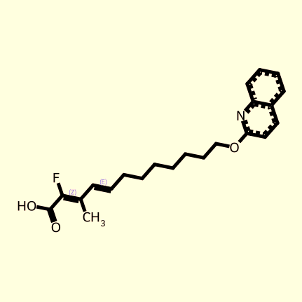 CC(/C=C/CCCCCCCOc1ccc2ccccc2n1)=C(/F)C(=O)O